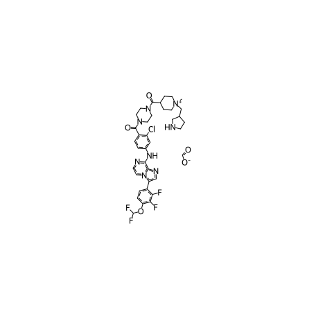 C[N+]1(CC2CCNC2)CCC(C(=O)N2CCN(C(=O)c3ccc(Nc4nccn5c(-c6ccc(OC(F)F)c(F)c6F)cnc45)cc3Cl)CC2)CC1.O=C[O-]